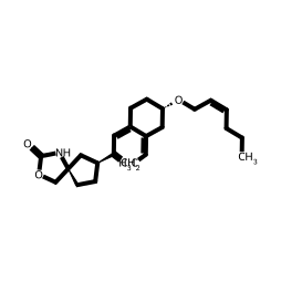 C=C(/C=C1/CC[C@H](OC/C=C\CCC)C/C1=C/C)[C@H]1CC[C@]2(COC(=O)N2)C1